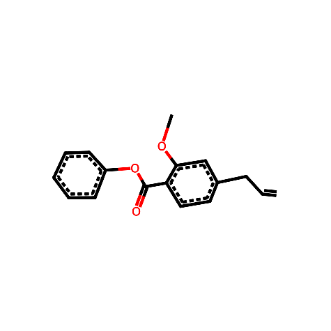 C=CCc1ccc(C(=O)Oc2ccccc2)c(OC)c1